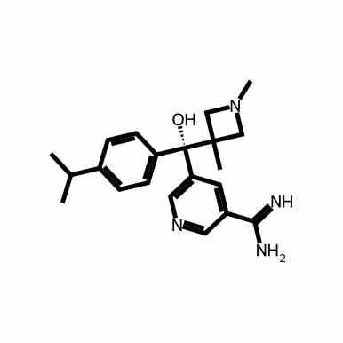 CC(C)c1ccc([C@](O)(c2cncc(C(=N)N)c2)C2(C)CN(C)C2)cc1